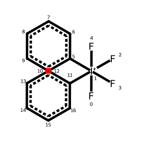 F[I+](F)(F)(F)(c1ccccc1)c1ccccc1